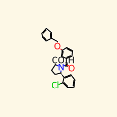 O=C(O)[C@@H]1CC[C@H](c2ccccc2Cl)N1C(=O)c1cccc(OCc2ccccc2)c1